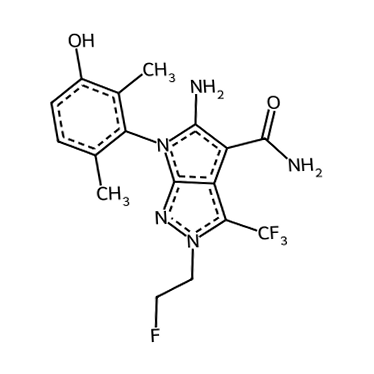 Cc1ccc(O)c(C)c1-n1c(N)c(C(N)=O)c2c(C(F)(F)F)n(CCF)nc21